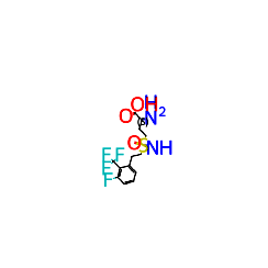 N=S(=O)(CCc1cccc(F)c1C(F)(F)F)CC[C@H](N)C(=O)O